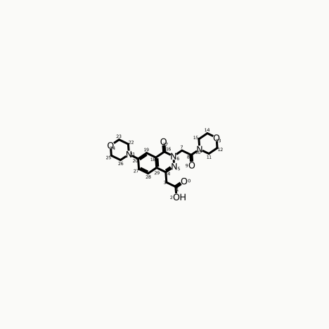 O=C(O)Cc1nn(CC(=O)N2CCOCC2)c(=O)c2cc(N3CCOCC3)ccc12